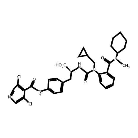 CN(C(=O)c1ccccc1N(CC1CC1)C(=O)N[C@@H](Cc1ccc(NC(=O)c2c(Cl)cncc2Cl)cc1)C(=O)O)C1CCCCC1